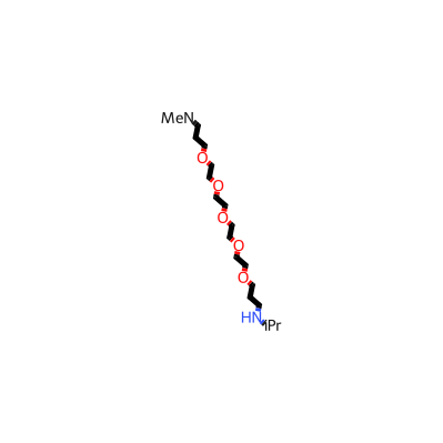 CNCCCOCCOCCOCCOCCOCCCNC(C)C